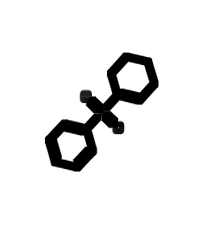 O=S(=O)(C1=CCCCC1)c1ccccc1